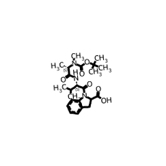 CC(C)[C@H](NC(=O)[C@H](C)N(C)C(=O)OC(C)(C)C)C(=O)N1c2ccccc2CC1C(=O)O